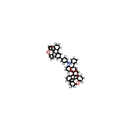 c1ccc(-c2ccccc2N(c2ccc(-c3ccc4c(c3)-c3ccccc3C43c4ccccc4Oc4ccccc43)cc2)c2cccc(-c3cccc4c3-c3ccccc3C43c4ccccc4Oc4ccccc43)c2)cc1